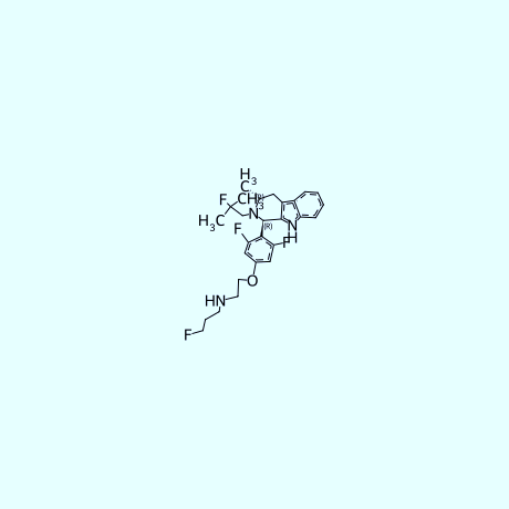 C[C@@H]1Cc2c([nH]c3ccccc23)[C@@H](c2c(F)cc(OCCNCCCF)cc2F)N1CC(C)(C)F